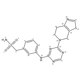 NS(=O)(=O)Cc1cccc(Nc2ncnc(N3CCc4ncsc4C3)n2)c1